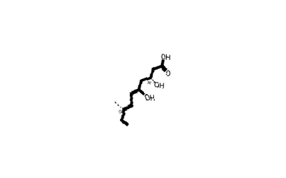 CC[C@H](C)CCC(O)C[C@@H](O)CC(=O)O